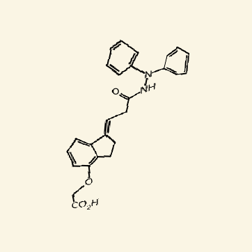 O=C(O)COc1cccc2c1CCC2=CCC(=O)NN(c1ccccc1)c1ccccc1